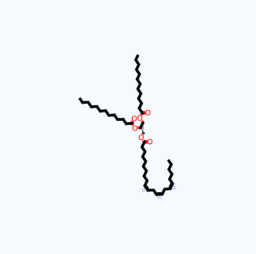 CCCCC/C=C\C/C=C\C/C=C\CCCCCCCCC(=O)OC[C@@H](COC(=O)CCCCCCCCCCCC)OC(=O)CCCCCCCCCCCC